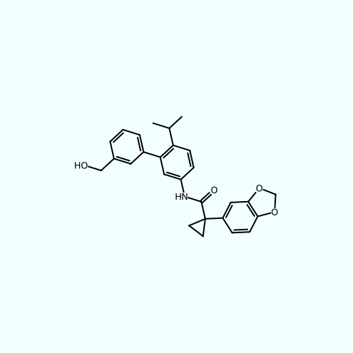 CC(C)c1ccc(NC(=O)C2(c3ccc4c(c3)OCO4)CC2)cc1-c1cccc(CO)c1